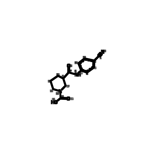 N#Cc1ccc(NC(=O)C2CCCN(C(=O)O)C2)cc1